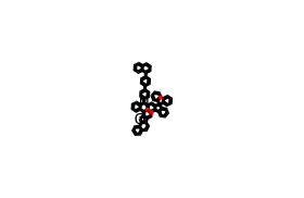 c1ccc(C2(c3ccccc3)c3ccccc3-c3ccc(N(c4ccc(-c5ccc(-c6cccc7ccccc67)cc5)cc4)c4ccccc4-c4cccc5c4oc4c6ccccc6ccc54)cc32)cc1